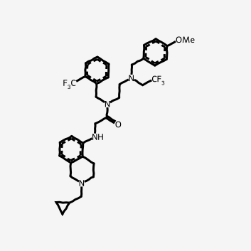 COc1ccc(CN(CCN(Cc2ccccc2C(F)(F)F)C(=O)CNc2cccc3c2CCN(CC2CC2)C3)CC(F)(F)F)cc1